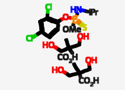 CC(CO)(CO)C(=O)O.CC(CO)(CO)C(=O)O.COP(=S)(NC(C)C)Oc1ccc(Cl)cc1Cl